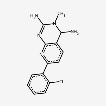 CN1C(N)=Nc2nc(-c3ccccc3Cl)ccc2C1N